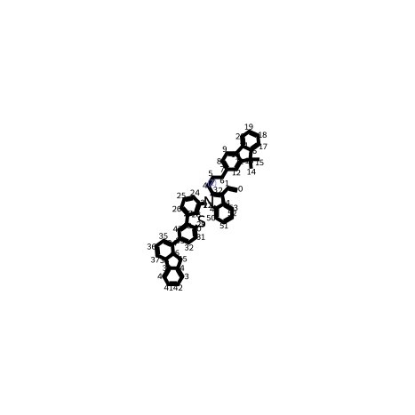 C=Cc1c(/C=C\Cc2ccc3c(c2)C(C)(C)c2ccccc2-3)n(-c2cccc3c2sc2ccc(C4=CC=CC5c6ccccc6CC45)cc23)c2ccccc12